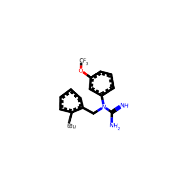 CC(C)(C)c1ccccc1CN(C(=N)N)c1cccc(OC(F)(F)F)c1